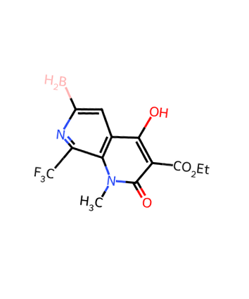 Bc1cc2c(O)c(C(=O)OCC)c(=O)n(C)c2c(C(F)(F)F)n1